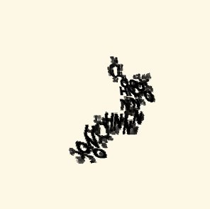 CC(C)(C)OC(=O)NCc1cccc(CNc2ncnc3c2ncn3CC(NC(=O)OCc2ccccc2)C(=O)OC(C)(C)C)c1